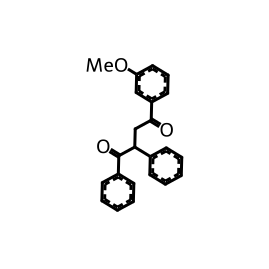 COc1cccc(C(=O)CC(C(=O)c2ccccc2)c2ccccc2)c1